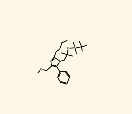 CCOCc1nc(COC)c(-c2ccccc2)n1CC(C)(C)O[Si](C)(C)C(C)(C)C